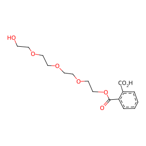 O=C(O)c1ccccc1C(=O)OCCOCCOCCOCCO